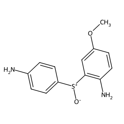 COc1ccc(N)c([S+]([O-])c2ccc(N)cc2)c1